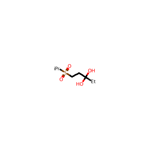 CCC(O)(O)CCS(=O)(=O)C(C)C